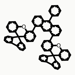 c1ccc(-c2c3cccc(-c4cccc5c4Oc4ccccc4C54c5ccccc5-c5ccccc54)c3cc3c(-c4cccc5c4Oc4ccccc4C54c5ccccc5-c5ccccc54)cccc23)cc1